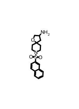 NC1COC2(CCN(S(=O)(=O)c3ccc4ccccc4c3)CC2)C1